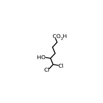 O=C(O)CCCC(O)C(Cl)Cl